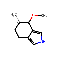 COC1c2c[nH]cc2CC[C@@H]1C